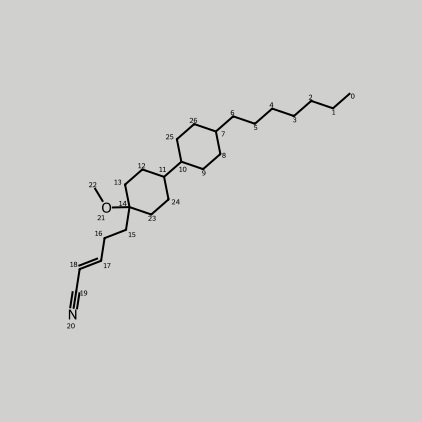 CCCCCCCC1CCC(C2CCC(CCC=CC#N)(OC)CC2)CC1